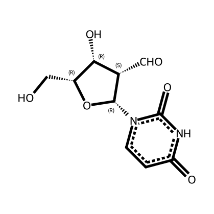 O=C[C@H]1[C@@H](O)[C@@H](CO)O[C@H]1n1ccc(=O)[nH]c1=O